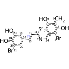 C=c1c(O)c(Br)c2c(c1O)SC(/C=C/c1cc(O)c(O)c(Br)c1)=NC=2